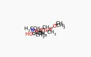 CC(C)COCCCOCC(C)COCC(C)COCC(C)COCC(C)N(C)Cc1cc(C(C)(C)C)ccc1O